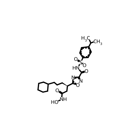 CC(C)c1ccc(S(=O)(=O)NC(=O)c2noc([C@H](CCCC3CCCCC3)CC(=O)NO)n2)cc1